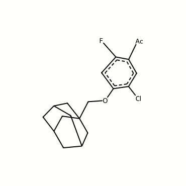 CC(=O)c1cc(Cl)c(OCC23CC4CC(CC(C4)C2)C3)cc1F